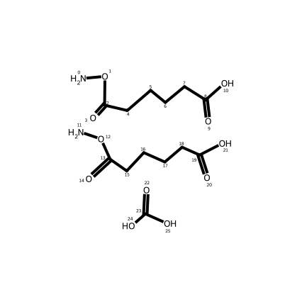 NOC(=O)CCCCC(=O)O.NOC(=O)CCCCC(=O)O.O=C(O)O